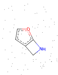 c1cc2c(o1)NC2